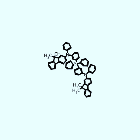 CC1(C)c2ccccc2-c2ccc(N(c3ccccc3)c3cccc([Si](c4ccccc4)(c4ccccc4)c4cccc(N(c5ccccc5)c5ccc6c(c5)C(C)(C)c5ccccc5-6)c4)c3)cc21